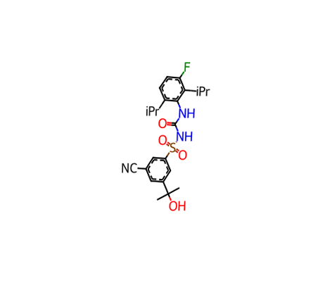 CC(C)c1ccc(F)c(C(C)C)c1NC(=O)NS(=O)(=O)c1cc(C#N)cc(C(C)(C)O)c1